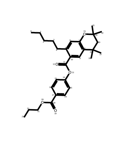 CCCCCc1cc2c(cc1C(=O)Oc1ccc(C(=O)OCCC)cc1)C(C)(C)CC(C)(C)O2